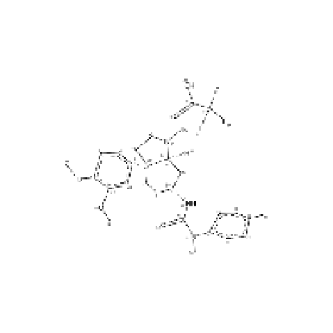 COc1ccc([C@@]23CC[C@@H](NC(=O)N(C)c4ccc(C)cc4)C[C@@H]2N(C)CC3)cc1OC.O=C(O)C(F)(F)F